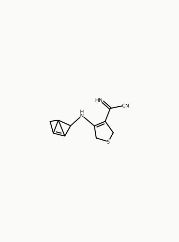 N#CC(=N)C1=C(NC2C3=C4CC432)CSC1